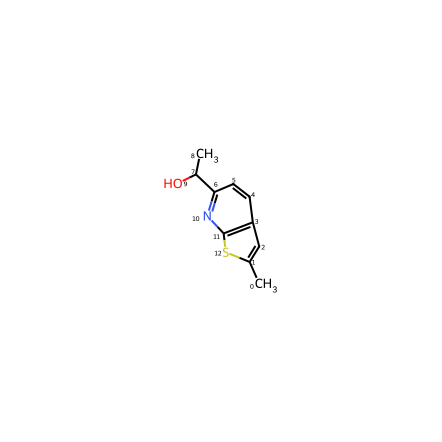 Cc1cc2ccc(C(C)O)nc2s1